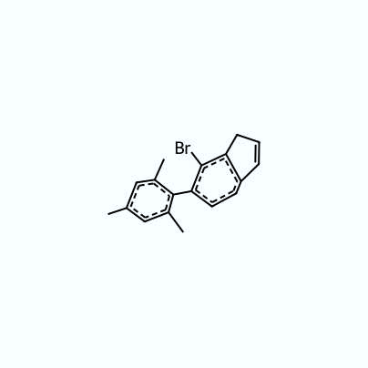 Cc1cc(C)c(-c2ccc3c(c2Br)CC=C3)c(C)c1